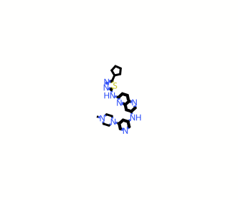 CN1CCN(c2cncc(Nc3cnc4ccc(Nc5nnc(C6CCCC6)s5)nc4c3)c2)CC1